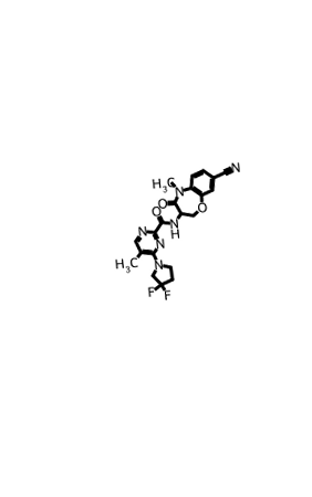 Cc1cnc(C(=O)NC2COc3cc(C#N)ccc3N(C)C2=O)nc1N1CCC(F)(F)C1